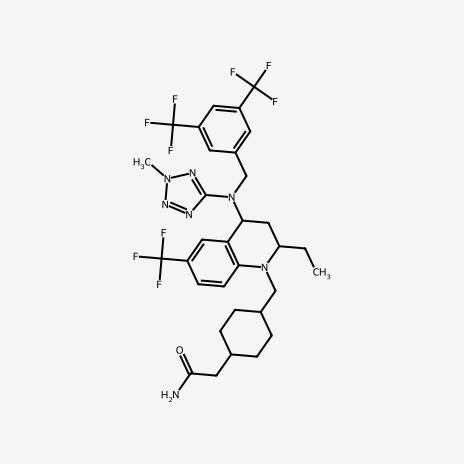 CCC1CC(N(Cc2cc(C(F)(F)F)cc(C(F)(F)F)c2)c2nnn(C)n2)c2cc(C(F)(F)F)ccc2N1CC1CCC(CC(N)=O)CC1